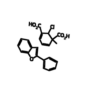 CC1(C(=O)O)C=CC=C(C(=O)O)C1Cl.c1ccc(-c2cc3ccccc3o2)cc1